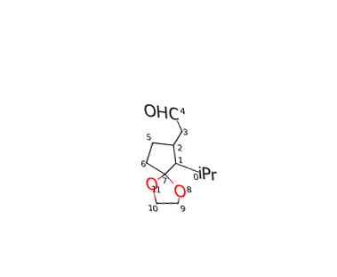 CC(C)C1C(CC=O)CCC12OCCO2